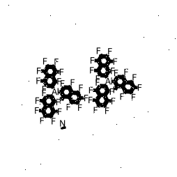 C#N.Fc1c(F)c(F)c2c(F)[c]([Al]([c]3c(F)c(F)c4c(F)c(F)c(F)c(F)c4c3F)[c]3c(F)c(F)c4c(F)c(F)c(F)c(F)c4c3F)c(F)c(F)c2c1F.Fc1c(F)c(F)c2c(F)[c]([Al]([c]3c(F)c(F)c4c(F)c(F)c(F)c(F)c4c3F)[c]3c(F)c(F)c4c(F)c(F)c(F)c(F)c4c3F)c(F)c(F)c2c1F